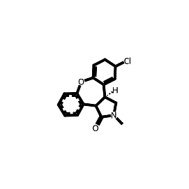 CN1C[C@@H]2C3=CC(Cl)CC=C3Oc3ccccc3C2C1=O